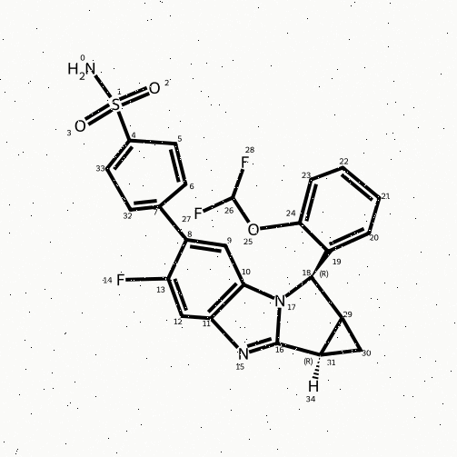 NS(=O)(=O)c1ccc(-c2cc3c(cc2F)nc2n3[C@@H](c3ccccc3OC(F)F)C3C[C@@H]23)cc1